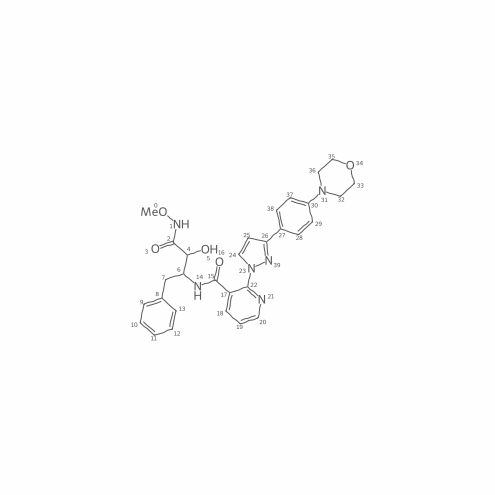 CONC(=O)C(O)C(Cc1ccccc1)NC(=O)c1cccnc1-n1ccc(-c2ccc(N3CCOCC3)cc2)n1